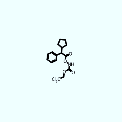 O=C(NOC(=O)C(c1ccccc1)C1CCCC1)OCC(Cl)(Cl)Cl